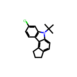 CC(C)(C)n1c2cc(Cl)ccc2c2c3c(ccc21)CCC3